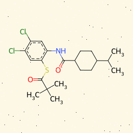 CC(C)C1CCC(C(=O)Nc2cc(Cl)c(Cl)cc2SC(=O)C(C)(C)C)CC1